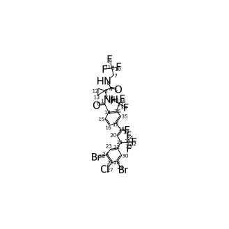 O=C(NC1(C(=O)NCC(F)(F)F)CC1)c1ccc(C(F)=CC(c2cc(Br)c(Cl)c(Br)c2)C(F)(F)F)cc1C(F)(F)F